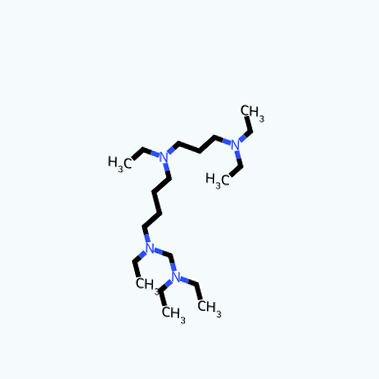 CCN(CC)CCCN(CC)CCCCN(CC)CN(CC)CC